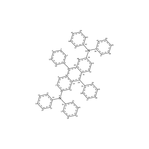 c1ccc(-c2c3ccc(N(c4ccccc4)c4ccccc4)cc3c(-c3ccccc3)c3ccc(N(c4ccccc4)c4ccccc4)cc23)cc1